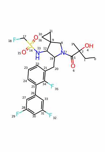 CCC(C)(O)C(=O)N1CC2(CC2)C(NS(=O)(=O)CF)C1Cc1cccc(-c2cc(F)cc(F)c2)c1F